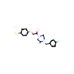 Cc1cc(OCC(=O)N2CC(C)N(Cc3ccc(F)cc3)CC2C)ccc1Br